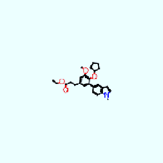 CCOC(=O)CCc1cc(OC)c(OC2CCCC2)c(-c2ccc3c(ccn3C)c2)c1